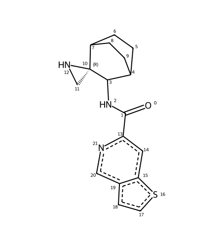 O=C(NC1C2CCC(CC2)[C@@]12CN2)c1cc2sccc2cn1